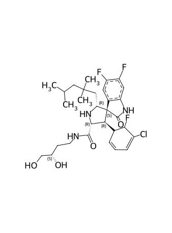 CC(C)CC(C)(C)C[C@H]1N[C@@H](C(=O)NCC[C@H](O)CO)[C@H](C2C=CC=C(Cl)C2F)[C@@]12C(=O)Nc1cc(F)c(F)cc12